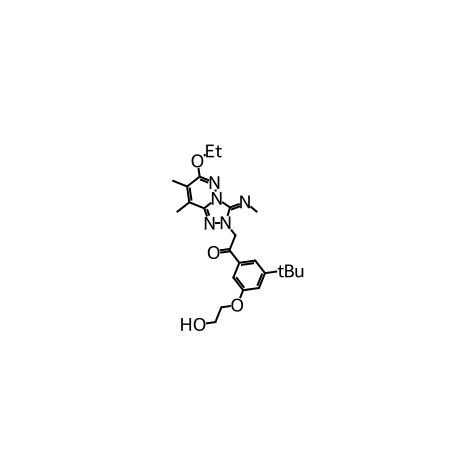 CCOc1nn2/c(=N/C)n(CC(=O)c3cc(OCCO)cc(C(C)(C)C)c3)nc2c(C)c1C